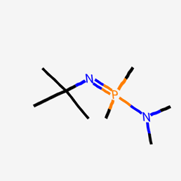 CN(C)P(C)(C)=NC(C)(C)C